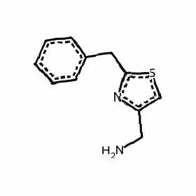 NCc1csc(Cc2ccccc2)n1